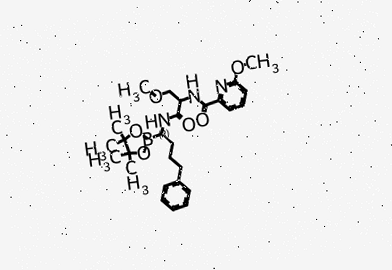 COCC(NC(=O)c1cccc(OC)n1)C(=O)N[C@@H](CCCc1ccccc1)B1OC(C)(C)C(C)(C)O1